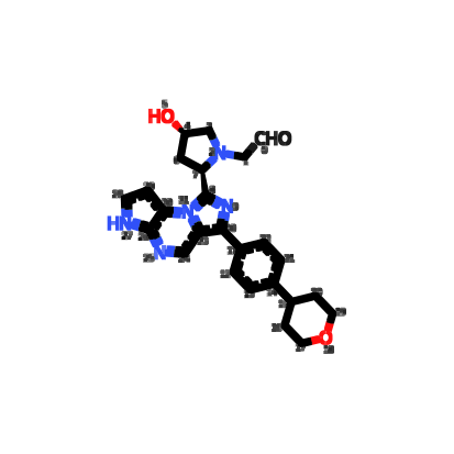 O=CCN1C[C@H](O)C[C@@H]1c1nc(-c2ccc(C3CCOCC3)cc2)c2cnc3[nH]ccc3n12